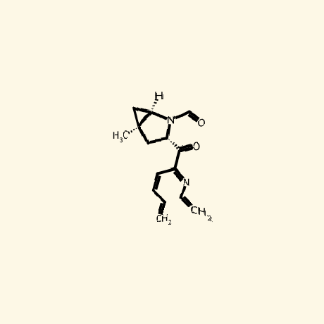 C=C/C=C\C(=N/C=C)C(=O)[C@@H]1C[C@@]2(C)C[C@H]2N1C=O